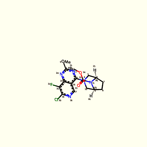 COc1nc(N2C[C@H]3CC[C@@H](C2)N3C(=O)OC(C)(C)C)c2cnc(Cl)c(F)c2n1